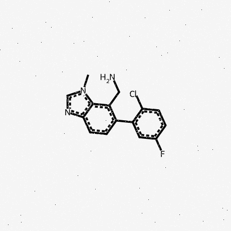 Cn1cnc2ccc(-c3cc(F)ccc3Cl)c(CN)c21